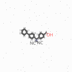 [C-]#[N+]/C(C#N)=C(\c1ccc(CO)cc1)c1ccc(-c2ccccc2)cc1